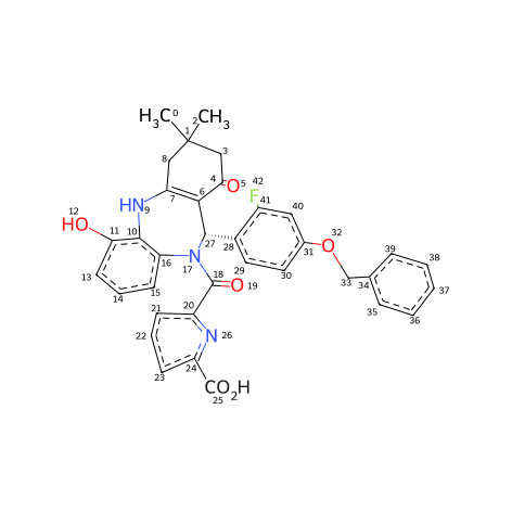 CC1(C)CC(=O)C2=C(C1)Nc1c(O)cccc1N(C(=O)c1cccc(C(=O)O)n1)[C@H]2c1ccc(OCc2ccccc2)cc1F